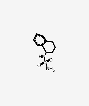 NS(=O)(=O)NC1CCCc2ccccc21